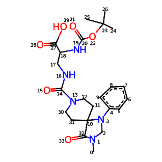 CN1CN(c2ccccc2)C2(CCN(C(=O)NCC(NC(=O)OC(C)(C)C)C(=O)O)CC2)C1=O